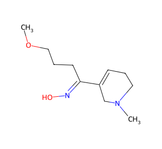 COCCCC(=NO)C1=CCCN(C)C1